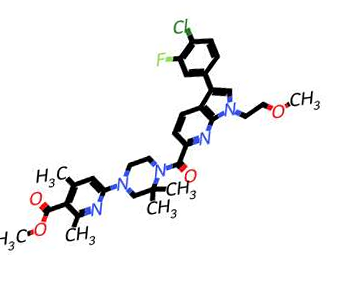 COCCn1cc(-c2ccc(Cl)c(F)c2)c2ccc(C(=O)N3CCN(c4cc(C)c(C(=O)OC)c(C)n4)CC3(C)C)nc21